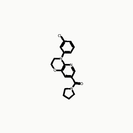 O=C(c1cnc2c(c1)OCCN2c1cccc(Cl)c1)N1CCCC1